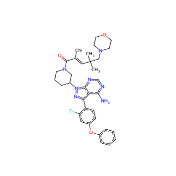 CC(C)(C=C(C#N)C(=O)N1CCCC(n2nc(-c3ccc(Oc4ccccc4)cc3F)c3c(N)ncnc32)C1)CN1CCOCC1